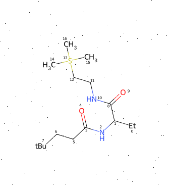 CCC(NC(=O)CCC(C)(C)C)C(=O)NCCS(C)(C)C